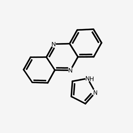 c1ccc2nc3ccccc3nc2c1.c1cn[nH]c1